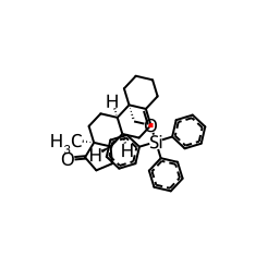 C[C@]12CC[C@@H]3[C@@H](CC=C4CCCC[C@@]43CO[Si](c3ccccc3)(c3ccccc3)c3ccccc3)[C@@H]1CCC2=O